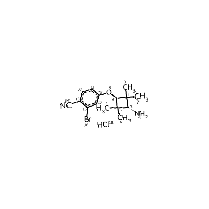 CC1(C)[C@H](N)C(C)(C)[C@H]1Oc1ccc(C#N)c(Br)c1.Cl